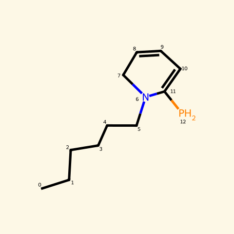 CCCCCCN1CC=CC=C1P